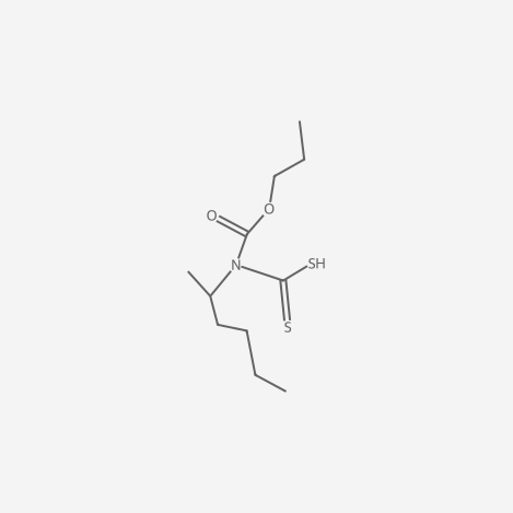 CCCCC(C)N(C(=O)OCCC)C(=S)S